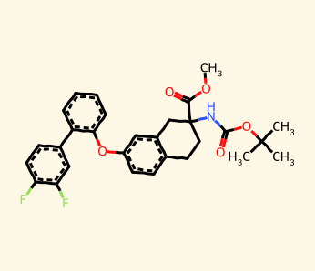 COC(=O)C1(NC(=O)OC(C)(C)C)CCc2ccc(Oc3ccccc3-c3ccc(F)c(F)c3)cc2C1